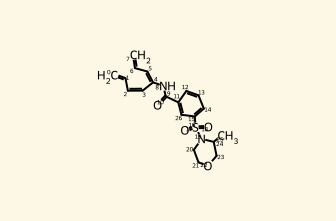 C=C/C=C\C(=C/C=C)NC(=O)c1cccc(S(=O)(=O)N2CCOCC2C)c1